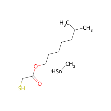 CC(C)CCCCCOC(=O)CS.[CH3][SnH]